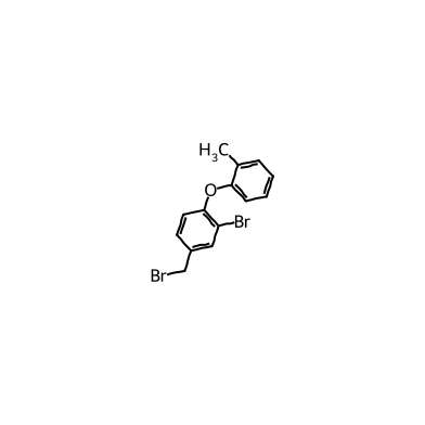 Cc1ccccc1Oc1ccc(CBr)cc1Br